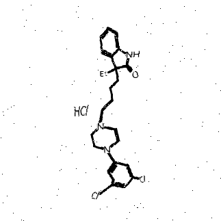 CCC1(CCCCN2CCN(c3cc(Cl)cc(Cl)c3)CC2)C(=O)Nc2ccccc21.Cl